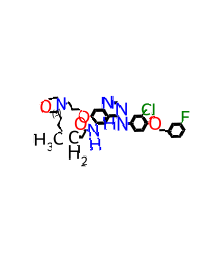 C=CC(=O)Nc1cc2c(Nc3ccc(OCc4cccc(F)c4)c(Cl)c3)ncnc2cc1OCCCN1CCOC[C@@H]1CCCC